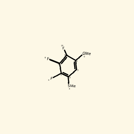 COc1cc(SC)c(F)c(F)c1F